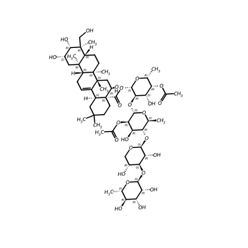 CC(=O)O[C@@H]1[C@H](O)[C@@H](O[C@@H]2O[C@@H](C)[C@H](O[C@@H]3OC[C@@H](O)[C@H](O[C@@H]4O[C@@H](C)[C@H](O)[C@@H](O)[C@H]4O)[C@H]3O)[C@@H](O)[C@H]2OC(C)=O)[C@H](OC(=O)[C@]23CCC(C)(C)C[C@H]2C2=CC[C@@H]4[C@@]5(C)C[C@H](O)[C@H](O)[C@@](C)(CO)[C@@H]5CC[C@@]4(C)[C@]2(C)C[C@H]3O)O[C@@H]1C